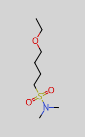 CCOCCCCS(=O)(=O)N(C)C